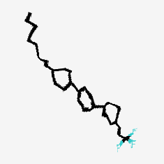 CCCCCCCCC1CCC(c2ccc(C3CCC(/C=C/C(F)(F)F)CC3)cc2)CC1